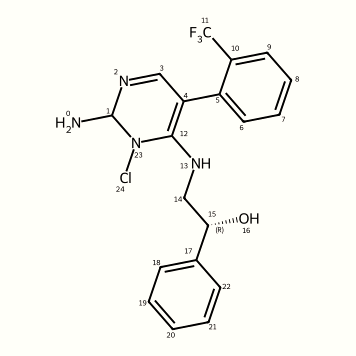 NC1N=CC(c2ccccc2C(F)(F)F)=C(NC[C@H](O)c2ccccc2)N1Cl